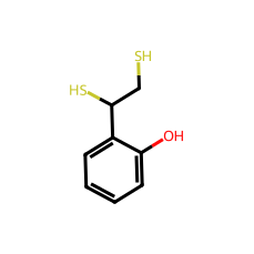 Oc1ccccc1C(S)CS